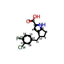 O=C(O)c1cc2c([nH]1)CCC2Cc1ccc(F)c(Cl)c1